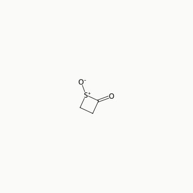 O=C1CC[S+]1[O-]